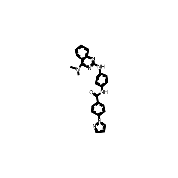 CN(C)c1nc(Nc2ccc(NC(=O)c3ccc(-n4cccn4)cc3)cc2)nc2ccccc12